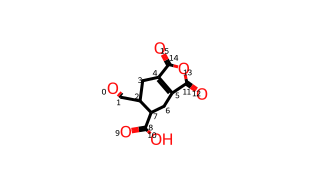 O=CC1CC2=C(CC1C(=O)O)C(=O)OC2=O